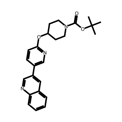 CC(C)(C)OC(=O)N1CCC(Oc2ccc(-c3cnc4ccccc4c3)cn2)CC1